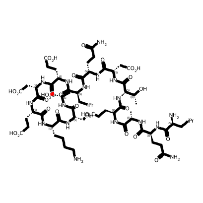 CC(C)C[C@H](NC(=O)[C@H](CCC(N)=O)NC(=O)[C@H](CC(=O)O)NC(=O)[C@@H](NC(=O)[C@H](CCC(=O)O)NC(=O)[C@H](C)NC(=O)[C@H](CCC(N)=O)NC(=O)[C@@H](N)CC(C)C)[C@@H](C)O)C(=O)N[C@@H](CCC(=O)O)C(=O)N[C@@H](CC(=O)O)C(=O)N[C@@H](CCC(=O)O)C(=O)N[C@@H](CCCCN)C(=O)N[C@@H](CO)C(=O)N[C@@H](C)C(=O)O